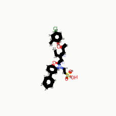 C=C(/C=C(/C=C1\Oc2ccc(-c3ccccc3)cc2N1CCS(=O)(=O)O)CC)Oc1ccc(Cl)cc1C